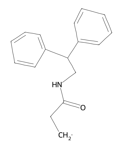 [CH2]CC(=O)NCC(c1ccccc1)c1ccccc1